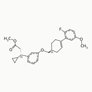 COC(=O)C[C@H](c1cccc(OC[C@@H]2CC=C(c3cc(OC)ccc3F)CC2)c1)C1CC1